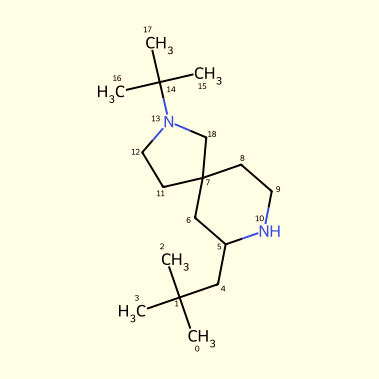 CC(C)(C)CC1CC2(CCN1)CCN(C(C)(C)C)C2